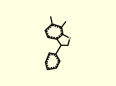 Cc1ccc2c(c1C)OCC2c1ccccc1